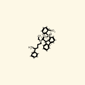 NC(CCCN(CC(F)(F)F)C(=O)C1c2ccccc2-c2cccc(S(=O)(=O)c3ccccc3[N+](=O)[O-])c21)c1ccccc1